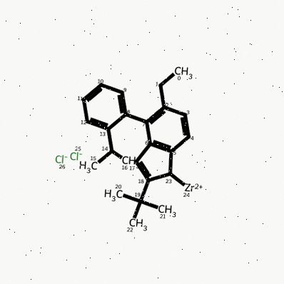 CCc1ccc2c(c1-c1ccccc1C(C)C)C=C(C(C)(C)C)[CH]2[Zr+2].[Cl-].[Cl-]